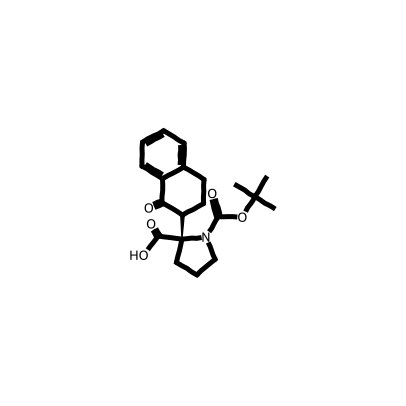 CC(C)(C)OC(=O)N1CCC[C@@]1(C(=O)O)C1CCc2ccccc2C1=O